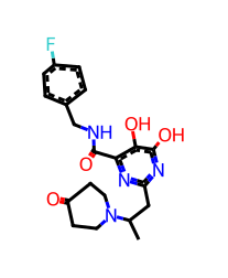 CC(Cc1nc(O)c(O)c(C(=O)NCc2ccc(F)cc2)n1)N1CCC(=O)CC1